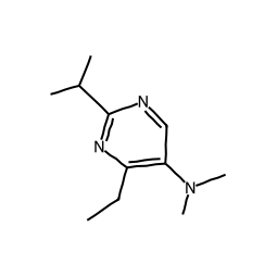 CCc1nc(C(C)C)ncc1N(C)C